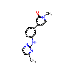 Cn1ccc(-c2cccc(Nc3nccc(C(F)(F)F)n3)c2)cc1=O